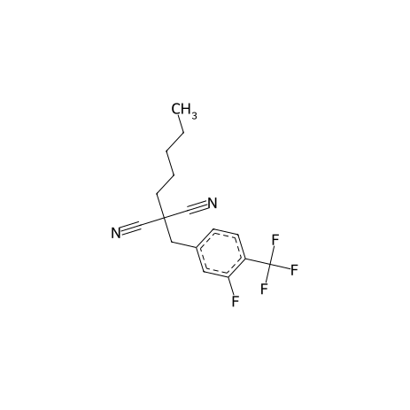 CCCCCC(C#N)(C#N)Cc1ccc(C(F)(F)F)c(F)c1